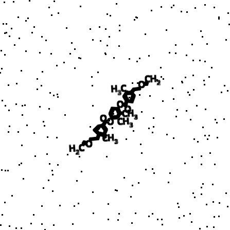 C=COCCc1ccc(C(=O)Oc2ccc(OC(=O)c3ccc(CCOC=C)c(C)c3)c(C)c2C)cc1C